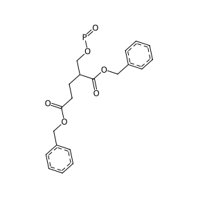 O=POCC(CCC(=O)OCc1ccccc1)C(=O)OCc1ccccc1